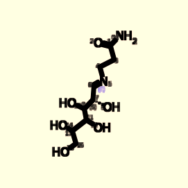 NC(=O)CC/N=C/[C@H](O)C(O)C(O)C(O)CO